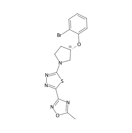 Cc1nc(-c2nnc(N3CC[C@H](Oc4ccccc4Br)C3)s2)no1